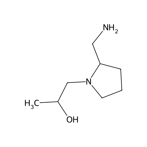 CC(O)CN1CCCC1CN